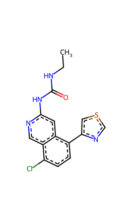 CCNC(=O)Nc1cc2c(-c3cscn3)ccc(Cl)c2cn1